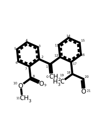 C=C(c1ccccc1C(=O)OC)c1ccccc1C(C)C=O